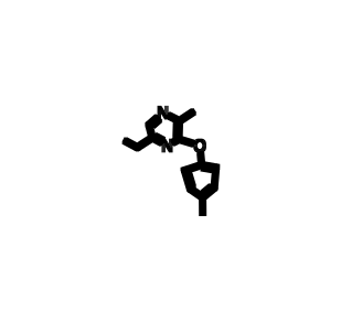 CCc1cnc(C)c(Oc2ccc(C)cc2)n1